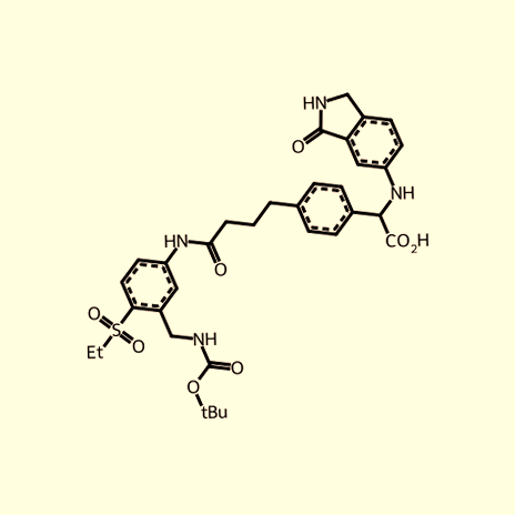 CCS(=O)(=O)c1ccc(NC(=O)CCCc2ccc(C(Nc3ccc4c(c3)C(=O)NC4)C(=O)O)cc2)cc1CNC(=O)OC(C)(C)C